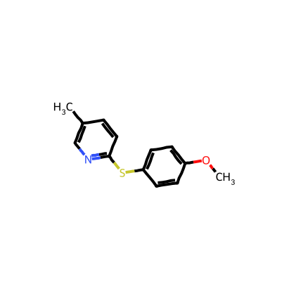 COc1ccc(Sc2ccc(C)cn2)cc1